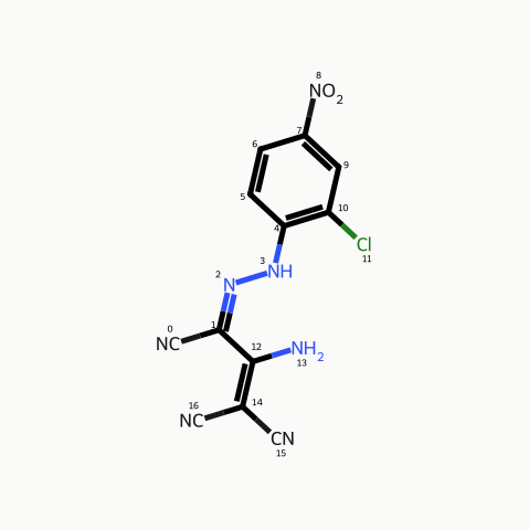 N#CC(=NNc1ccc([N+](=O)[O-])cc1Cl)C(N)=C(C#N)C#N